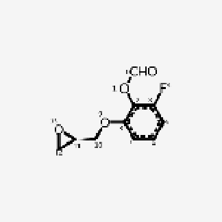 O=COc1c(F)cccc1OC[C@H]1CO1